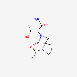 CC(C)C(=O)N1CCCC12CN(C(C(N)=O)C(C)O)C2=O